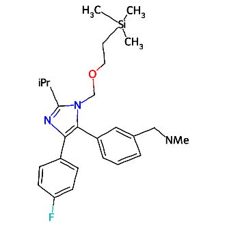 CNCc1cccc(-c2c(-c3ccc(F)cc3)nc(C(C)C)n2COCC[Si](C)(C)C)c1